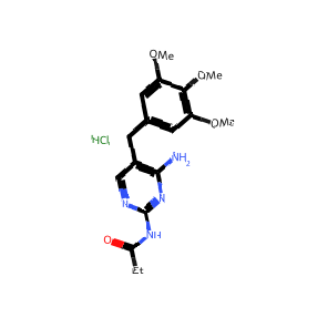 CCC(=O)Nc1ncc(Cc2cc(OC)c(OC)c(OC)c2)c(N)n1.Cl